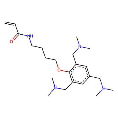 C=CC(=O)NCCCCOc1c(CN(C)C)cc(CN(C)C)cc1CN(C)C